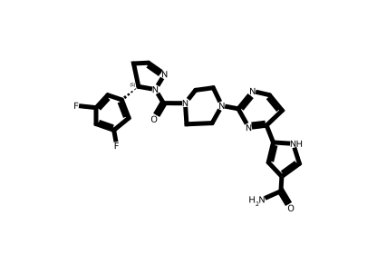 NC(=O)c1c[nH]c(-c2ccnc(N3CCN(C(=O)N4N=CC[C@H]4c4cc(F)cc(F)c4)CC3)n2)c1